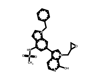 CS(=O)(=O)Nc1cc(-c2cn(CC3CO3)c3c(O)nccc23)cc2c1ccn2Cc1ccccc1